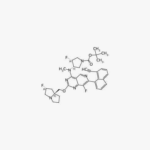 C#Cc1cccc2cccc(-c3ncc4c(N(C)[C@H]5CN(C(=O)OC(C)(C)C)C[C@H]5F)nc(OC[C@@]56CCCN5C[C@H](F)C6)nc4c3F)c12